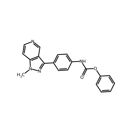 Cn1nc(-c2ccc(NC(=O)Oc3ccccc3)cc2)c2cnccc21